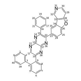 c1ccc(-c2ccccc2-c2cnc3nc(-c4ccccc4)c(-c4ccc5oc6ccncc6c5c4)nc3n2)cc1